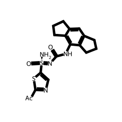 CC(=O)c1ncc([S@@](N)(=O)=NC(=O)Nc2c3c(cc4c2CCC4)CCC3)s1